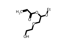 C=CC(=O)OC(COCCO)OCC